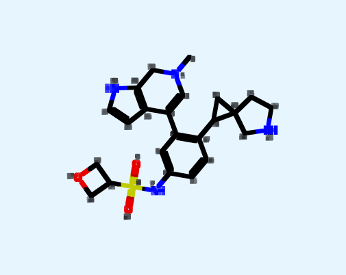 CN1C=C(c2cc(NS(=O)(=O)C3COC3)ccc2C2CC23CCNC3)c2cc[nH]c2C1